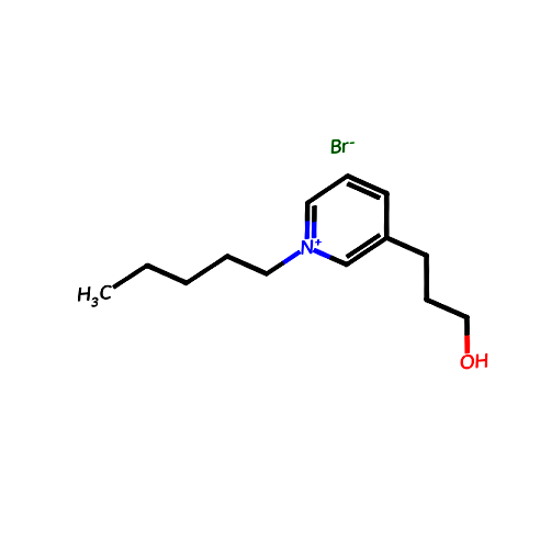 CCCCC[n+]1cccc(CCCO)c1.[Br-]